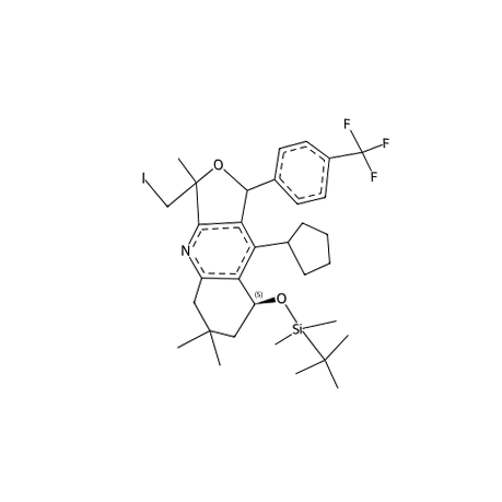 CC1(C)Cc2nc3c(c(C4CCCC4)c2[C@@H](O[Si](C)(C)C(C)(C)C)C1)C(c1ccc(C(F)(F)F)cc1)OC3(C)CI